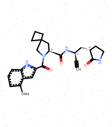 C#C[C@H](C[C@@H]1CCNC1=O)NC(=O)[C@@H]1CC2(CCC2)CN1C(=O)c1cc2c(OC)cccc2[nH]1